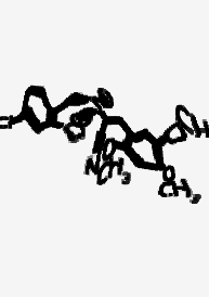 COc1cc(OC)c(OC)cc1C=C(C#N)S(=O)(=O)Cc1ccc(Cl)cc1Cl